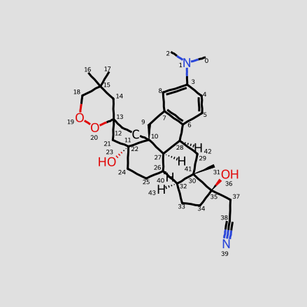 CN(C)c1ccc2c(c1)C[C@]13CCC4(CC(C)(C)COO4)C[C@]1(O)CC[C@@H]1[C@@H]3[C@@H]2C[C@@]2(C)[C@H]1CC[C@@]2(O)CC#N